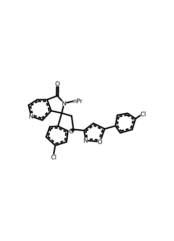 CCCN1C(=O)c2ccncc2C1(CC(=O)c1cc(-c2ccc(Cl)cc2)on1)c1ccc(Cl)cc1